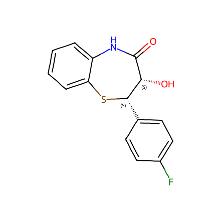 O=C1Nc2ccccc2S[C@@H](c2ccc(F)cc2)[C@H]1O